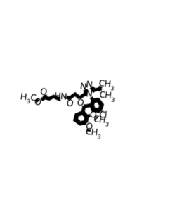 COC(=O)CCCNC(=O)CC1OC(c2cccc(OC)c2OC)c2cc(Cl)ccc2-n2c(C(C)C)nnc21